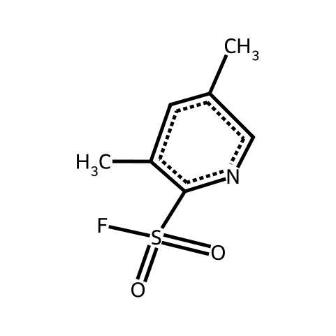 Cc1cnc(S(=O)(=O)F)c(C)c1